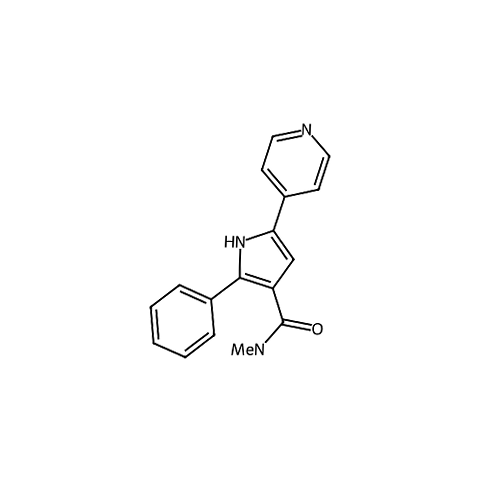 CNC(=O)c1cc(-c2ccncc2)[nH]c1-c1ccccc1